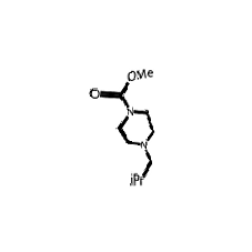 COC(=O)N1CCN(CC(C)C)CC1